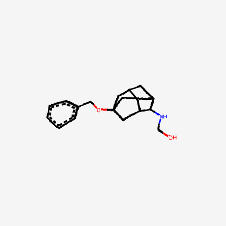 OCNC1C2CC3CC1CC(OCc1ccccc1)(C3)C2